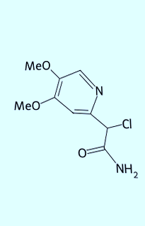 COc1cnc(C(Cl)C(N)=O)cc1OC